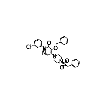 O=c1c(OCc2ccccc2)c(N2CCN(S(=O)(=O)Cc3ccccc3)CC2)cnn1-c1cccc(Cl)c1